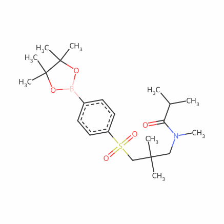 CC(C)C(=O)N(C)CC(C)(C)CS(=O)(=O)c1ccc(B2OC(C)(C)C(C)(C)O2)cc1